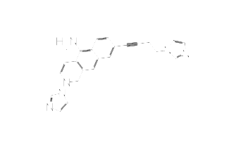 Nc1c2c(cc3cc(C#CCCn4ccnc4)ccc13)CN(n1ccnc1)C=C2